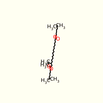 CC(C)CCCCCOC(=O)CCCCCCCCCCCCCCC(CC(=O)OCCCCCC(C)C)C(C)C